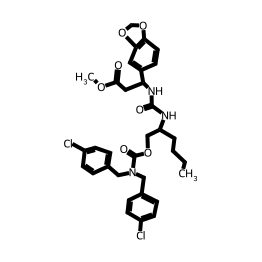 CCCCC(COC(=O)N(Cc1ccc(Cl)cc1)Cc1ccc(Cl)cc1)NC(=O)NC(CC(=O)OC)c1ccc2c(c1)OCO2